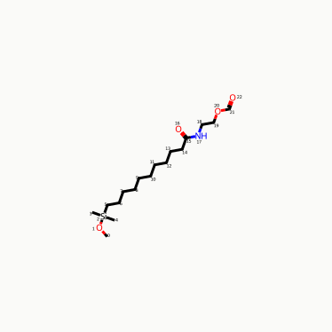 CO[Si](C)(C)CCCCCCCCCCC(=O)NCCOC=O